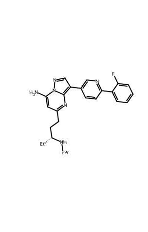 CCCN[C@H](CC)CCc1cc(N)n2ncc(-c3ccc(-c4ccccc4F)nc3)c2n1